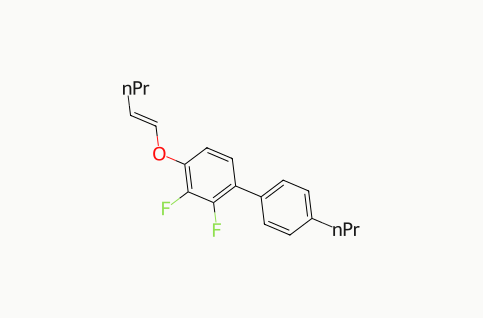 CCC/C=C/Oc1ccc(-c2ccc(CCC)cc2)c(F)c1F